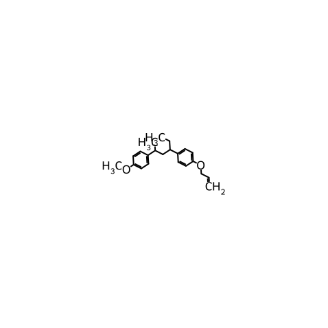 C=CCOc1ccc(C(CC)CC(C)c2ccc(OC)cc2)cc1